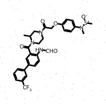 CC1CN(C(=O)COc2ccc(N(C)[S+](C)[O-])cc2)CCN1C(=O)c1cc(-c2cccc(C(F)(F)F)c2)ccc1NC=O